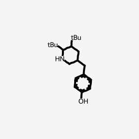 CC(C)(C)C1CC(Cc2ccc(O)cc2)CNC1C(C)(C)C